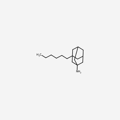 CCCCCCC12CC3CC(CC(N)(C3)C1)C2